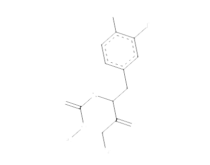 CC(C)(C)OC(=O)NC(Cc1ccc(F)c(F)c1)C(=O)CBr